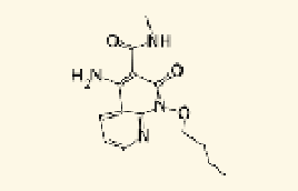 CCCCOn1c(=O)c(C(=O)NC)c(N)c2cccnc21